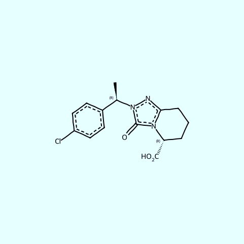 C[C@H](c1ccc(Cl)cc1)n1nc2n(c1=O)[C@@H](C(=O)O)CCC2